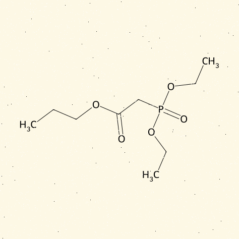 CCCOC(=O)CP(=O)(OCC)OCC